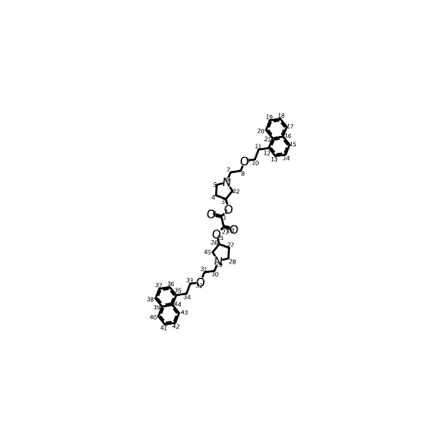 O=C(OC1CCN(CCOCCc2cccc3ccccc23)C1)C(=O)OC1CCN(CCOCCc2cccc3ccccc23)C1